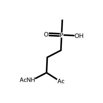 CC(=O)NC(CCP(C)(=O)O)C(C)=O